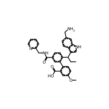 CCC(c1ccc(C(=O)NCc2ccccn2)cc1-c1ccc(OC)cc1C(=O)O)c1c[nH]c2cc(CN)ccc12